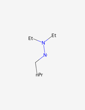 CCCC[N]N(CC)CC